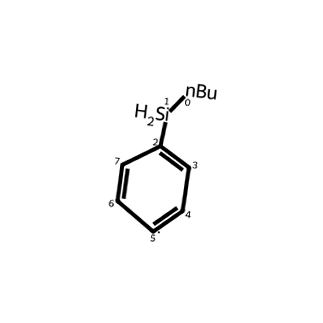 CCCC[SiH2]c1cc[c]cc1